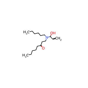 C=CC(O)N(CCCCCC)CCC(=O)CCCCC